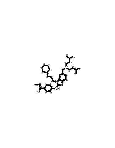 CNC(=O)c1ccc(Nc2nc3ccc(CN(CCC(C)C)CCC(C)C)cc3n2CCCN2CCCCC2)cc1